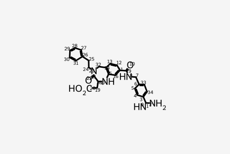 N=C(N)c1ccc(CNC(=O)c2ccc3c(c2)NC(CC(=O)O)C(=O)N(CCc2ccccc2)C3)cc1